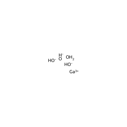 O.[Ga+3].[OH-].[OH-].[OH-]